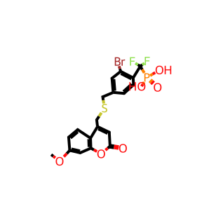 COc1ccc2c(CSCc3ccc(C(F)(F)P(=O)(O)O)c(Br)c3)cc(=O)oc2c1